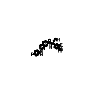 CNC[C@@H](NC(=O)N1CCc2cnc(Nc3ccc(F)cc3)nc2C1)c1ccc(C(F)(F)F)c(F)c1